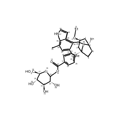 CCO[C@H]1C[C@H]2CC[C@@](c3ccc(C(=O)OC4O[C@H](C(=O)O)[C@@H](O)[C@H](O)[C@H]4O)cc3)(C1)N2Cc1c(OC)cc(C)c2[nH]ccc12